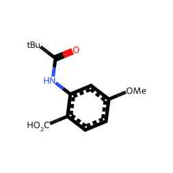 COc1ccc(C(=O)O)c(NC(=O)C(C)(C)C)c1